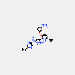 N#Cc1cnc(Nc2cc(-c3nc(C4CC4)ccc3O[C@@H]3CC[C@H](N)C3)[nH]n2)cn1